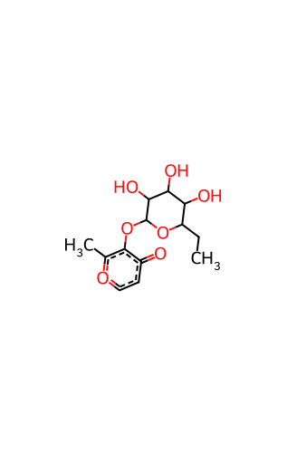 CCC1OC(Oc2c(C)occc2=O)C(O)C(O)C1O